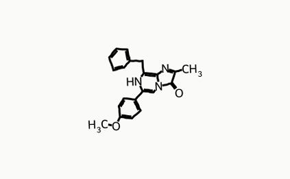 COc1ccc(-c2cn3c(=O)c(C)nc-3c(Cc3ccccc3)[nH]2)cc1